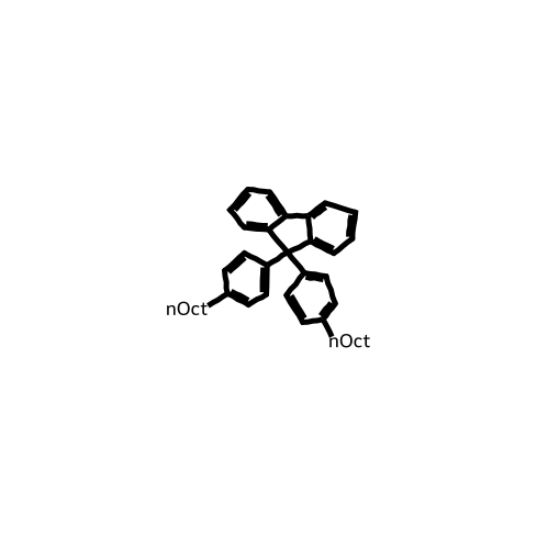 CCCCCCCCc1ccc(C2(c3ccc(CCCCCCCC)cc3)c3ccccc3-c3ccccc32)cc1